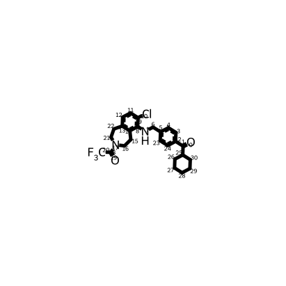 O=C(c1ccc(CNc2c(Cl)ccc3c2CCN(C(=O)C(F)(F)F)CC3)cc1)C1CCCCC1